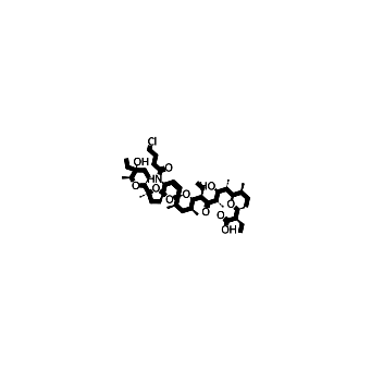 CC[C@@H](C(=O)[C@@H](C)[C@@H](O)[C@H](C)[C@@H]1O[C@@H]([C@@H](CC)C(=O)O)CC[C@@H]1C)[C@H]1O[C@]2(C=C[C@@H](NC(=O)CCCCl)[C@]3(CC[C@@](C)([C@H]4CC[C@](O)(CC)[C@H](C)O4)O3)O2)[C@H](C)C[C@@H]1C